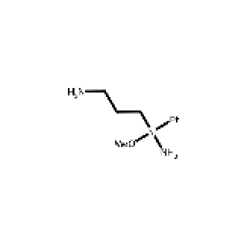 CC[Si](N)(CCCN)OC